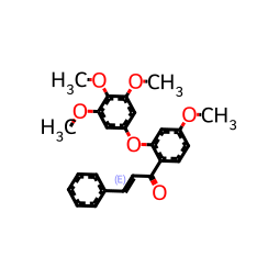 COc1ccc(C(=O)/C=C/c2ccccc2)c(Oc2cc(OC)c(OC)c(OC)c2)c1